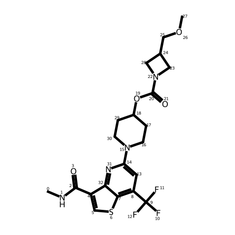 CNC(=O)c1csc2c(C(F)(F)F)cc(N3CCC(OC(=O)N4CC(COC)C4)CC3)nc12